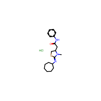 CN1/C(=N/C2CCCCCC2)SCC1CC(=O)Nc1ccccc1.Cl